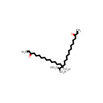 C=CC(=O)CCCCCCCCCCCC(CCCCCCCCCCCC(=O)C=C)(C(=O)O)C(C(=O)O)S(=O)(=O)O